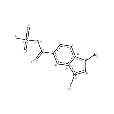 CS(=O)(=O)NC(=O)c1ccc2c(Br)cn(I)c2c1